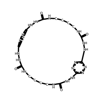 O=C1NCCCCNC(=O)NNc2nnc(nn2)NNC(=O)NCCCCNC(=O)NNc2nnc(nn2)NN1